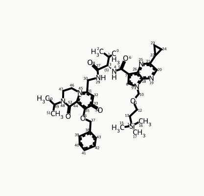 CC(C)[C@H](NC(=O)c1cn(COCC[Si](C)(C)C)c2ncc(C3CC3)nc12)C(=O)NCc1cc(=O)c(OCc2ccccc2)c2n1CCN(C(C)C)C2=O